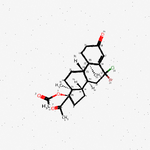 CC(=O)O[C@]1(C(C)=O)CC[C@H]2[C@@H]3CC(Cl)(Br)C4=CC(=O)CC[C@]4(C)[C@H]3CC[C@@]21C